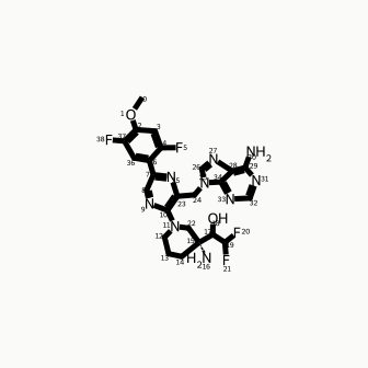 COc1cc(F)c(-c2cnc(N3CCC[C@](N)(C(O)C(F)F)C3)c(Cn3cnc4c(N)ncnc43)n2)cc1F